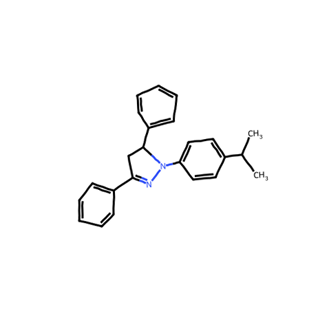 CC(C)c1ccc(N2N=C(c3ccccc3)CC2c2ccccc2)cc1